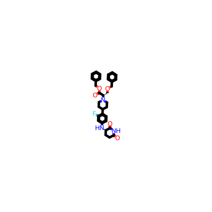 O=C1CC[C@H](Nc2ccc(C3CCN([C@@H](COCc4ccccc4)C(=O)OCc4ccccc4)CC3)c(F)c2)C(=O)N1